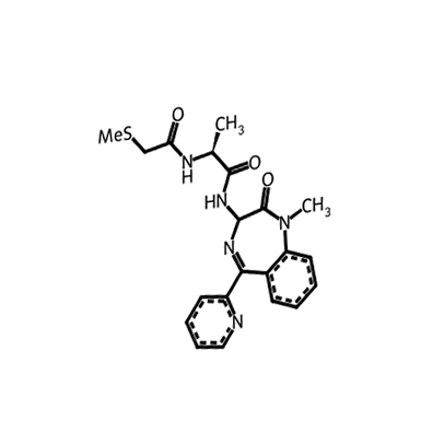 CSCC(=O)N[C@@H](C)C(=O)NC1N=C(c2ccccn2)c2ccccc2N(C)C1=O